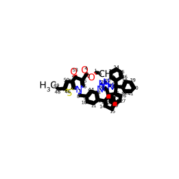 CCOC(=O)c1cn(Cc2ccc(-c3ccccc3-c3nnnn3C(c3ccccc3)(c3ccccc3)c3ccccc3)cc2)c2sc(CC)cc2c1=O